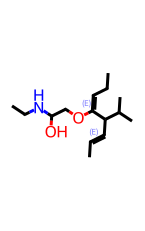 C/C=C/C(/C(=C\CC)OCC(O)NCC)C(C)C